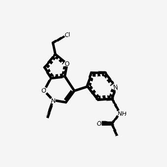 CC(=O)Nc1cc(C2=CN(C)Oc3cc(CCl)oc32)ccn1